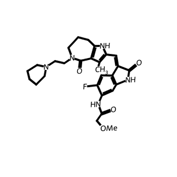 COCC(=O)Nc1cc2c(cc1F)C(=Cc1[nH]c3c(c1C)C(=O)N(CCN1CCCCC1)CCC3)C(=O)N2